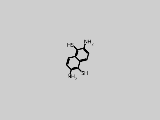 Nc1ccc2c(S)c(N)ccc2c1S